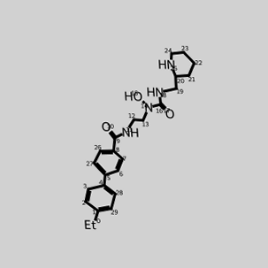 CCc1ccc(-c2ccc(C(=O)NCCN(O)C(=O)NCC3CCCCN3)cc2)cc1